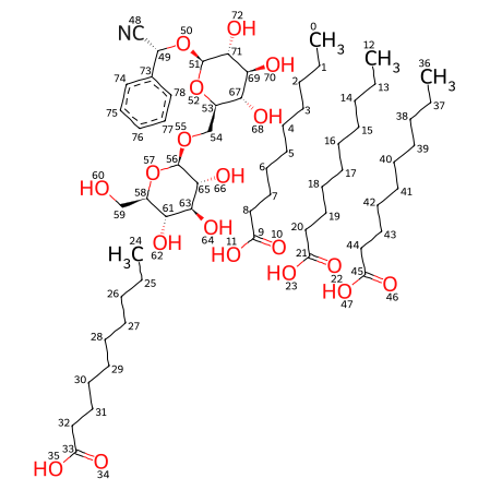 CCCCCCCCCC(=O)O.CCCCCCCCCC(=O)O.CCCCCCCCCC(=O)O.CCCCCCCCCC(=O)O.N#C[C@H](O[C@@H]1O[C@H](CO[C@@H]2O[C@H](CO)[C@@H](O)[C@H](O)[C@H]2O)[C@@H](O)[C@H](O)[C@H]1O)c1ccccc1